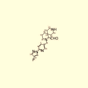 O=CC1N(Cc2ccc(-n3cc(F)cn3)nc2)CCCC12CCNCC2